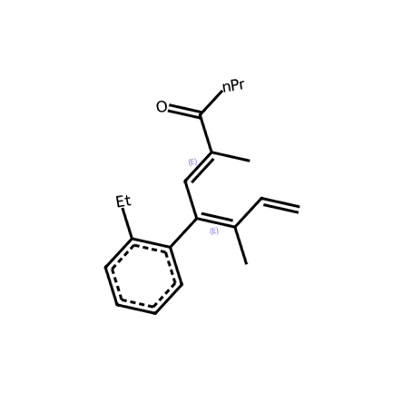 C=C/C(C)=C(\C=C(/C)C(=O)CCC)c1ccccc1CC